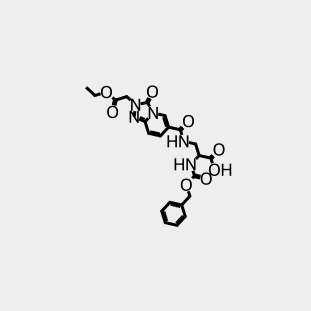 CCOC(=O)Cn1nc2ccc(C(=O)NCC(NC(=O)OCc3ccccc3)C(=O)O)cn2c1=O